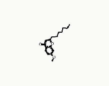 CCCCCCCc1cc(=O)c2ccc(OC)cc2o1